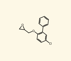 Clc1ccc(OCC2CO2)c(-c2ccccc2)c1